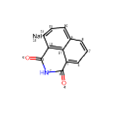 O=C1NC(=O)c2cccc3cccc1c23.[NaH]